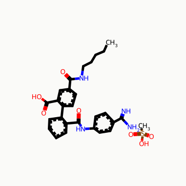 CCCCCNC(=O)c1ccc(-c2ccccc2C(=O)Nc2ccc(C(=N)N)cc2)c(C(=O)O)c1.CS(=O)(=O)O